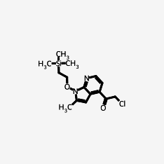 Cc1cc2c(C(=O)CCl)ccnc2n1OCC[Si](C)(C)C